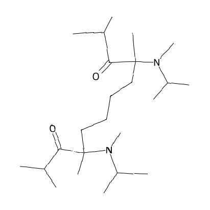 CC(C)C(=O)C(C)(CCCCC(C)(C(=O)C(C)C)N(C)C(C)C)N(C)C(C)C